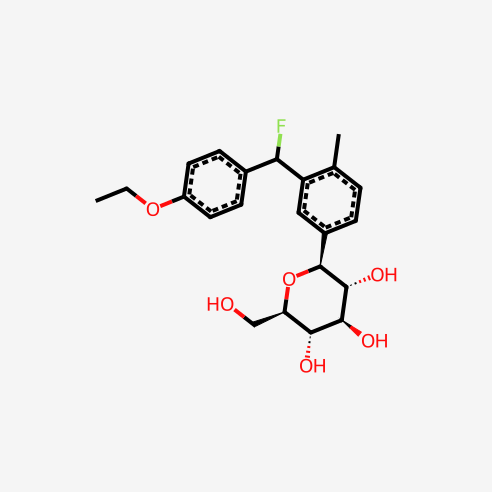 CCOc1ccc(C(F)c2cc([C@@H]3O[C@H](CO)[C@@H](O)[C@H](O)[C@H]3O)ccc2C)cc1